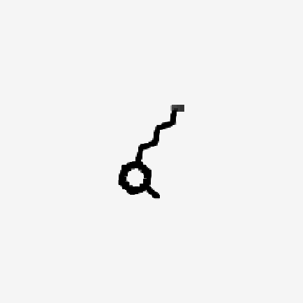 Cc1cccc(CCC[CH]O)c1